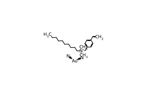 C=Cc1ccc(C[N+](C)(C)CCCCCCCCCC)cc1.N#[C][Au-][C]#N